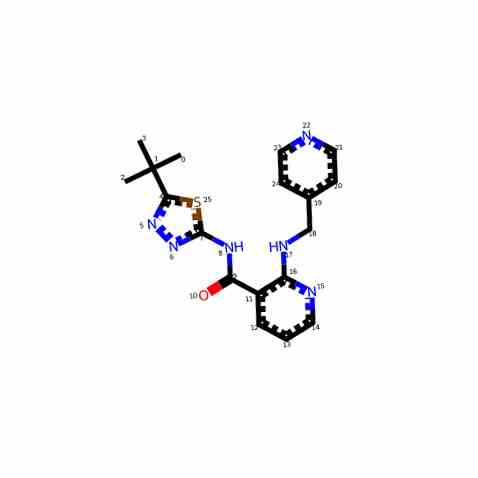 CC(C)(C)c1nnc(NC(=O)c2cccnc2NCc2ccncc2)s1